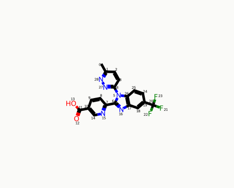 Cc1ccc(-n2c(-c3ccc(C(=O)O)cn3)nc3cc(C(F)(F)F)ccc32)nn1